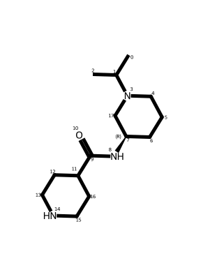 CC(C)N1CCC[C@@H](NC(=O)C2CCNCC2)C1